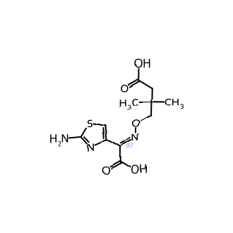 CC(C)(CO/N=C(/C(=O)O)c1csc(N)n1)CC(=O)O